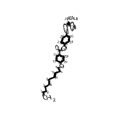 C=CCCCCCCCCOc1ccc(C(=O)Oc2ccc(OC(=O)[C@@H](C)CC)cc2)cc1